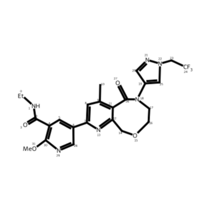 CCNC(=O)c1cc(-c2cc(C)c3c(n2)COCCN(c2cnn(CC(F)(F)F)c2)C3=O)cnc1OC